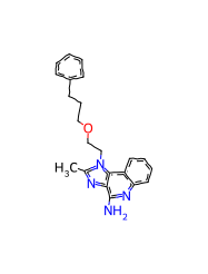 Cc1nc2c(N)nc3ccccc3c2n1CCOCCCc1ccccc1